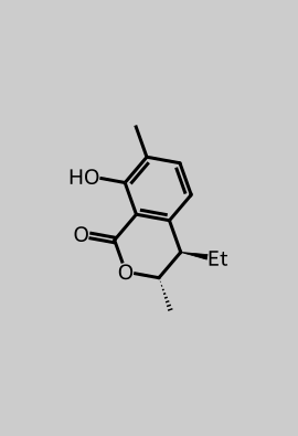 CC[C@@H]1c2ccc(C)c(O)c2C(=O)O[C@H]1C